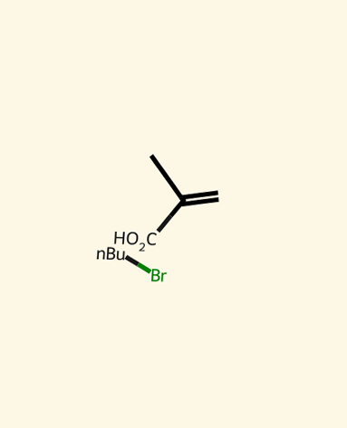 C=C(C)C(=O)O.[CH2]CCCBr